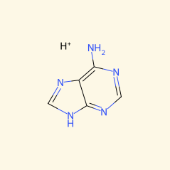 Nc1ncnc2[nH]cnc12.[H+]